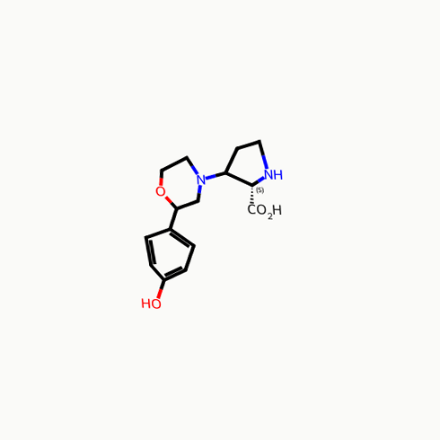 O=C(O)[C@H]1NCCC1N1CCOC(c2ccc(O)cc2)C1